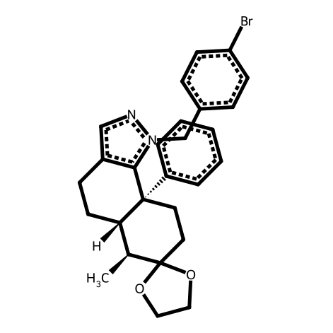 C[C@H]1[C@@H]2CCc3cnn(Cc4ccc(Br)cc4)c3[C@@]2(c2ccccc2)CCC12OCCO2